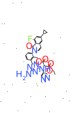 CCOC(=O)CC(=O)OCc1c(-c2nc(N)nc(Nc3cnn(C)c3)n2)cccc1-n1ccc2cc(C3CC3)cc(F)c2c1=O